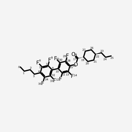 CCCCc1c(F)c(F)c(-c2c(F)c(F)c(OC(=O)[C@H]3CC[C@H](CCC)CC3)c(F)c2F)c(F)c1F